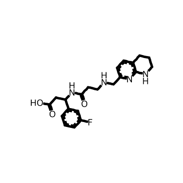 O=C(O)CC(NC(=O)CCNCc1ccc2c(n1)NCCC2)c1cccc(F)c1